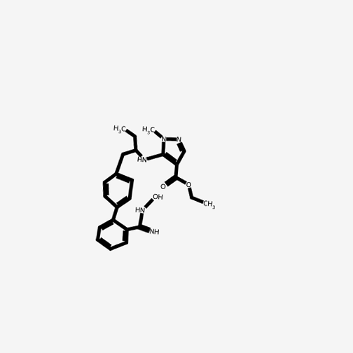 CCOC(=O)c1cnn(C)c1NC(CC)Cc1ccc(-c2ccccc2C(=N)NO)cc1